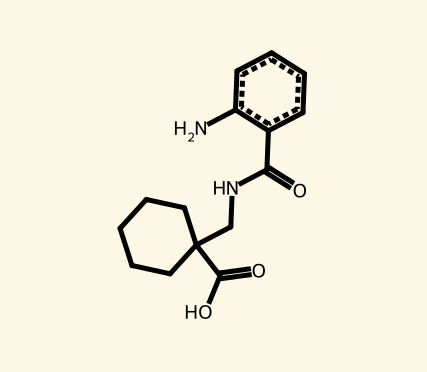 Nc1ccccc1C(=O)NCC1(C(=O)O)CCCCC1